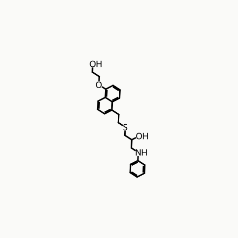 OCCOc1cccc2c(CCSCC(O)CNc3ccccc3)cccc12